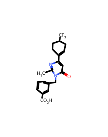 Cc1nc(C2=CCC(C(F)(F)F)CC2)cc(=O)n1Cc1cccc(C(=O)O)c1